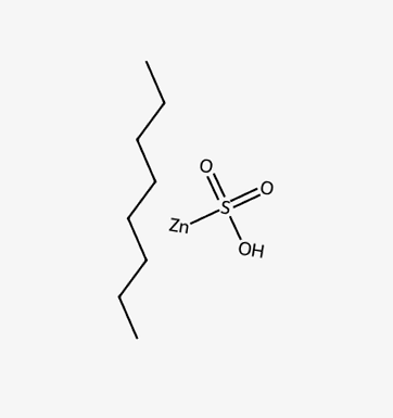 CCCCCCCC.O=[S](=O)(O)[Zn]